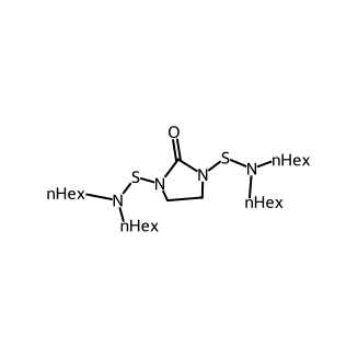 CCCCCCN(CCCCCC)SN1CCN(SN(CCCCCC)CCCCCC)C1=O